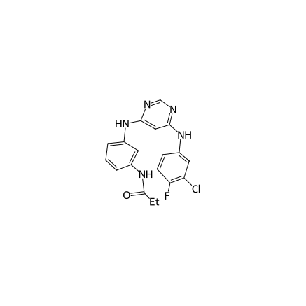 CCC(=O)Nc1cccc(Nc2cc(Nc3ccc(F)c(Cl)c3)ncn2)c1